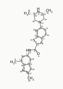 Cc1cc(NC(=O)c2cc3ccc(N4C[C@@H](C)N[C@@H](C)C4)nc3s2)cc2cn(C)nc12